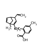 C=CC1C=C(C)C2(C)C=CC1C2.Cc1ccc(C(=O)O)c(C)c1